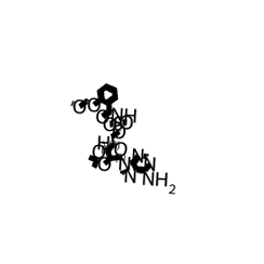 COCOc1ccccc1C(=O)NS(=O)(=O)OC[C@H]1O[C@@H](n2cnc3c(N)ncnc32)C2OC(C)(C)O[C@H]21